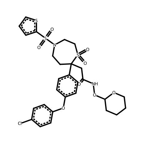 O=C(CC1(c2ccc(Oc3ccc(Cl)cc3)cc2)CCN(S(=O)(=O)c2cccs2)CCS1(=O)=O)NOC1CCCCO1